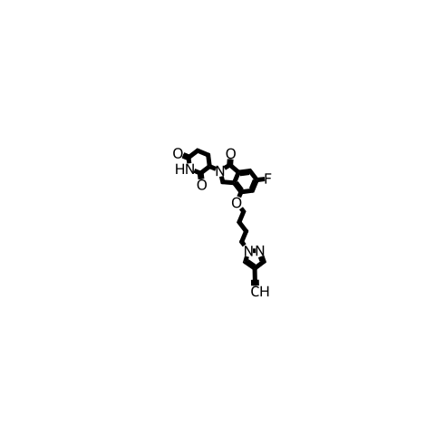 C#Cc1cnn(CCCCOc2cc(F)cc3c2CN(C2CCC(=O)NC2=O)C3=O)c1